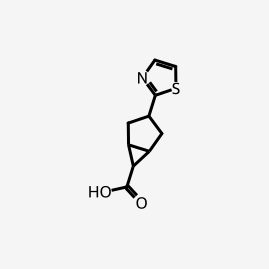 O=C(O)C1C2CC(c3nccs3)CC21